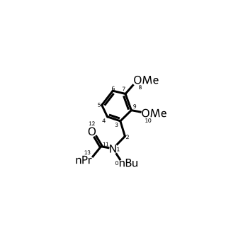 CCCCN(Cc1cccc(OC)c1OC)C(=O)CCC